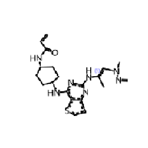 C=CC(=O)N[C@H]1CC[C@@H](Nc2nc(N/C(C)=C/N(C)N=C)nc3ccsc23)CC1